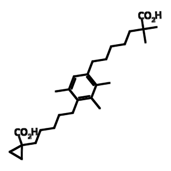 Cc1cc(CCCCCC(C)(C)C(=O)O)c(C)c(C)c1CCCCCC1(C(=O)O)CC1